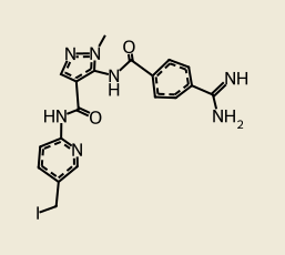 Cn1ncc(C(=O)Nc2ccc(CI)cn2)c1NC(=O)c1ccc(C(=N)N)cc1